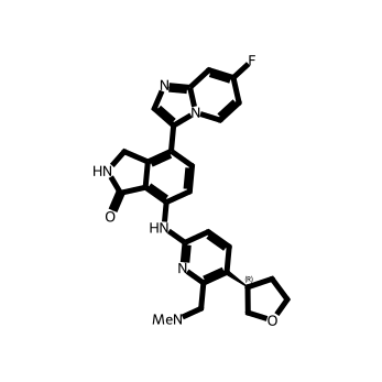 CNCc1nc(Nc2ccc(-c3cnc4cc(F)ccn34)c3c2C(=O)NC3)ccc1[C@H]1CCOC1